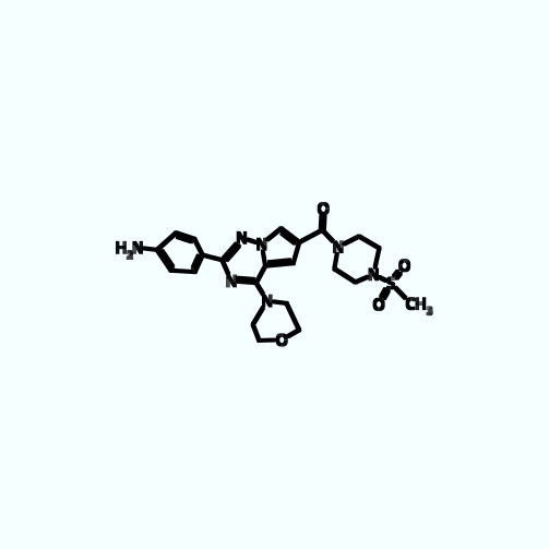 CS(=O)(=O)N1CCN(C(=O)c2cc3c(N4CCOCC4)nc(-c4ccc(N)cc4)nn3c2)CC1